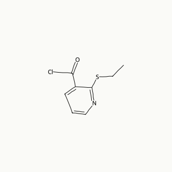 CCSc1ncccc1C(=O)Cl